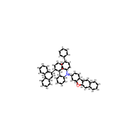 c1ccc(-c2ccc(N(c3ccc4c(c3)oc3cc5ccccc5cc34)c3ccccc3-c3ccccc3-c3cc4ccccc4c4ccccc34)cc2)cc1